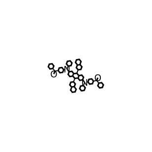 O=C(c1ccccc1)c1ccc(N(c2ccccc2)c2ccc3c(-c4ccc5ccccc5c4)c4cc(N(c5ccccc5)c5ccc(C(=O)c6ccccc6)cc5)ccc4c(-c4ccc5ccccc5c4)c3c2)cc1